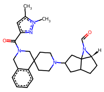 Cc1cc(C(=O)N2Cc3ccccc3C3(CCN(C4CC5CC[C@H]6N(C=O)C56C4)CC3)C2)nn1C